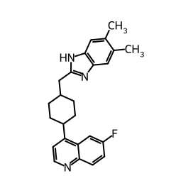 Cc1cc2nc(CC3CCC(c4ccnc5ccc(F)cc45)CC3)[nH]c2cc1C